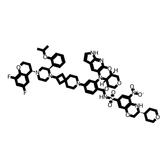 CC(C)Oc1ccccc1[C@@H]1CN([C@H]2CCOc3c(F)cc(F)cc32)CCN1C1CC2(CCN(c3ccc(C(=O)NS(=O)(=O)c4cc5c(c([N+](=O)[O-])c4)N[C@H](C4CCOCC4)CO5)c(N4c5cc6cc[nH]c6nc5O[C@H]5COCC[C@@H]54)c3)CC2)C1